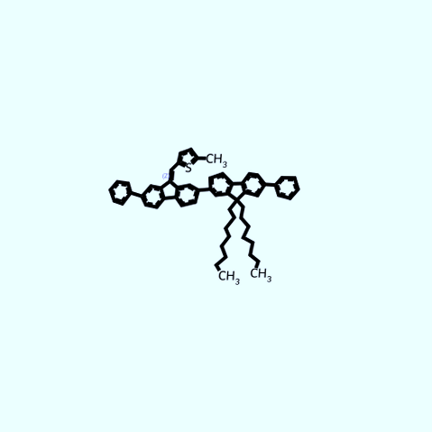 CCCCCCCCC1(CCCCCCCC)c2cc(-c3ccccc3)ccc2-c2ccc(-c3ccc4c(c3)/C(=C\c3ccc(C)s3)c3cc(-c5ccccc5)ccc3-4)cc21